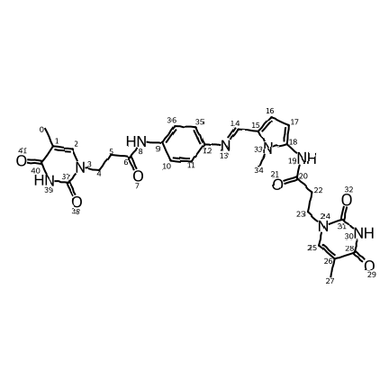 Cc1cn(CCC(=O)Nc2ccc(/N=C/c3ccc(NC(=O)CCn4cc(C)c(=O)[nH]c4=O)n3C)cc2)c(=O)[nH]c1=O